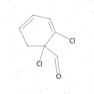 O=CC1(Cl)CC=CC=C1Cl